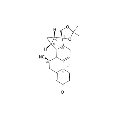 CC1(C)OC[C@]2(O1)[C@H]1C[C@H]1C1C3C(=CC[C@@]12C)[C@@]1(C)CCC(=O)C=C1C[C@H]3C#N